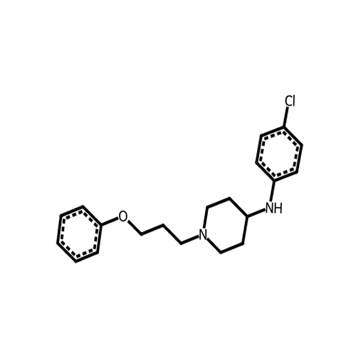 Clc1ccc(NC2CCN(CCCOc3ccccc3)CC2)cc1